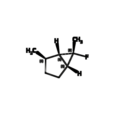 C[C@@H]1CC[C@@H]2[C@H]1[C@]2(C)F